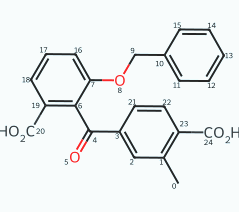 Cc1cc(C(=O)c2c(OCc3ccccc3)cccc2C(=O)O)ccc1C(=O)O